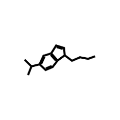 CCCCC1C=Cc2cc(C(C)C)ccc21